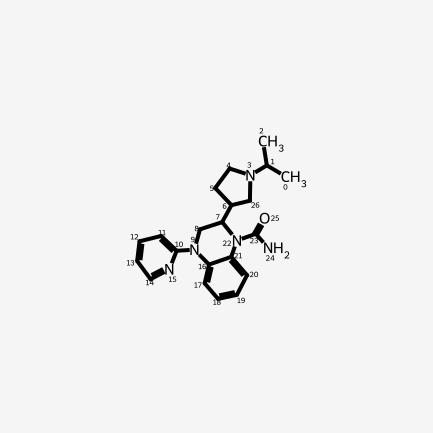 CC(C)N1CCC(C2CN(c3ccccn3)c3ccccc3N2C(N)=O)C1